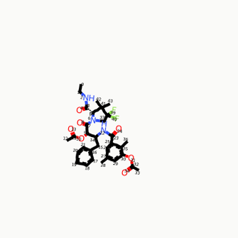 CCNC(=O)[C@H]1N(C(=O)C(OC(C)=O)C(Cc2ccccc2)NC(=O)c2cc(C)cc(OC(C)=O)c2C)CC(F)(F)C1(C)C